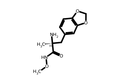 CONC(=O)[C@@](C)(N)Cc1ccc2c(c1)OCO2